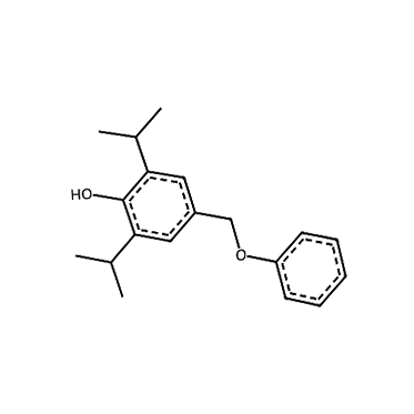 CC(C)c1cc(COc2ccccc2)cc(C(C)C)c1O